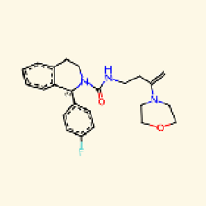 C=C(CCNC(=O)N1CCc2ccccc2[C@@H]1c1ccc(F)cc1)N1CCOCC1